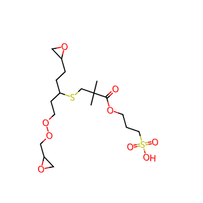 CC(C)(CSC(CCOOCC1CO1)CCC1CO1)C(=O)OCCCS(=O)(=O)O